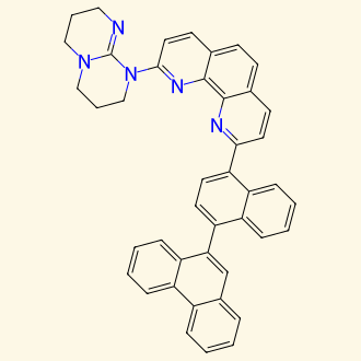 c1ccc2c(c1)cc(-c1ccc(-c3ccc4ccc5ccc(N6CCCN7CCCN=C76)nc5c4n3)c3ccccc13)c1ccccc12